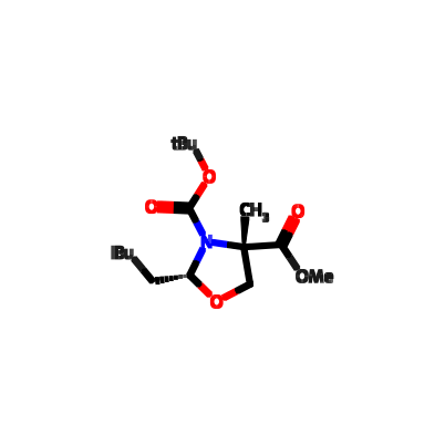 CCC(C)C[C@H]1OC[C@@](C)(C(=O)OC)N1C(=O)OC(C)(C)C